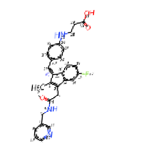 CC1=C(CC(=O)NCc2cccnc2)c2cc(F)ccc2/C1=C\c1ccc(NCCC(=O)O)cc1